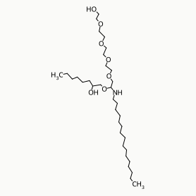 CCCCCCCCCCCCCCCCNC(COCCOCCOCCOCCO)OCC(O)CCCCCC